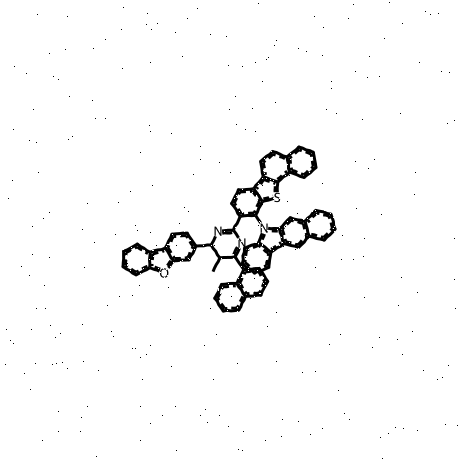 CC1C(c2cccc3ccccc23)=NC(c2ccc3c(sc4c5ccccc5ccc34)c2-n2c3ccccc3c3cc4ccccc4cc32)=NC1c1ccc2c(c1)oc1ccccc12